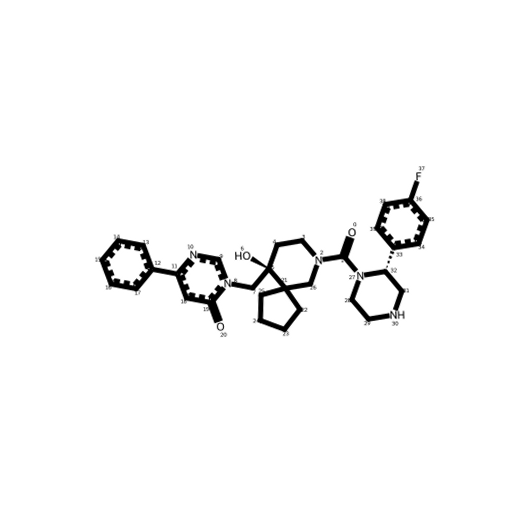 O=C(N1CC[C@@](O)(Cn2cnc(-c3ccccc3)cc2=O)C2(CCCC2)C1)N1CCNC[C@H]1c1ccc(F)cc1